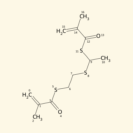 C=C(C)C(=O)SCCSC(C)SC(=O)C(=C)C